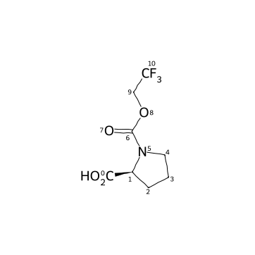 O=C(O)[C@@H]1CCCN1C(=O)OCC(F)(F)F